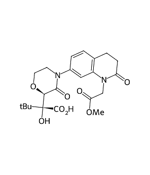 COC(=O)CN1C(=O)CCc2ccc(N3CCO[C@H]([C@@](O)(C(=O)O)C(C)(C)C)C3=O)cc21